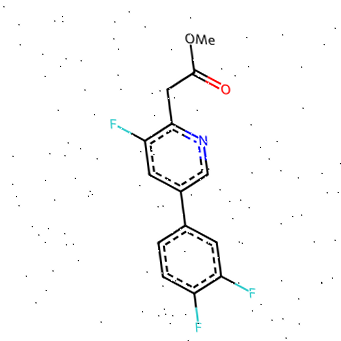 COC(=O)Cc1ncc(-c2ccc(F)c(F)c2)cc1F